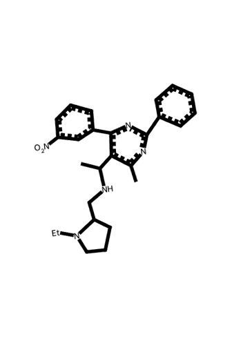 CCN1CCCC1CNC(C)c1c(C)nc(-c2ccccc2)nc1-c1cccc([N+](=O)[O-])c1